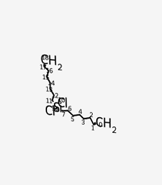 C=CCCCCCC[Si](Cl)(Cl)CCCCCCC=C